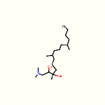 CC(C)CCCC(C)CCCC(C)CCCC(C)(O)C(O)CN(C)C